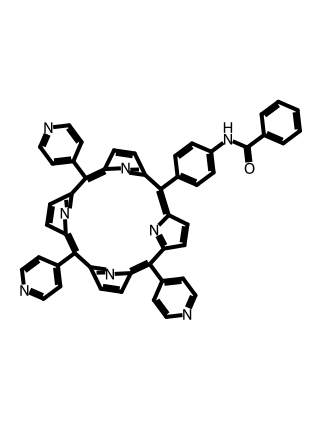 O=C(Nc1ccc(C2=C3C=CC(=N3)C(c3ccncc3)=C3C=CC(=N3)C(c3ccncc3)=C3C=CC(=N3)C(c3ccncc3)=C3C=CC2=N3)cc1)c1ccccc1